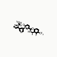 [2H]C([2H])([2H])n1nncc1-c1cncc(-n2nc(C(=O)N[C@H](C)c3cccc(C(F)(F)F)c3F)ccc2=O)c1